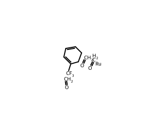 C=O.C=O.C=O.FC(F)(F)C1=CC=CCC1.[Ru]